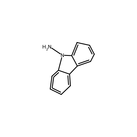 Nn1c2c(c3ccccc31)=CC=C=C=2